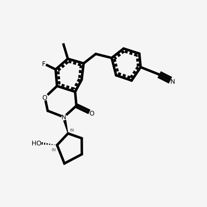 Cc1c(Cc2ccc(C#N)cc2)cc2c(c1F)OCN([C@H]1CCC[C@@H]1O)C2=O